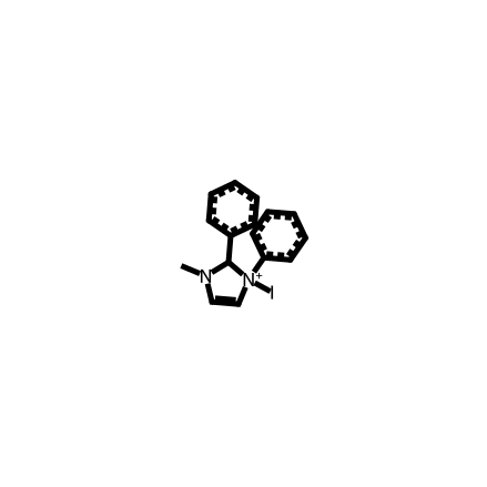 CN1C=C[N+](I)(c2ccccc2)C1c1ccccc1